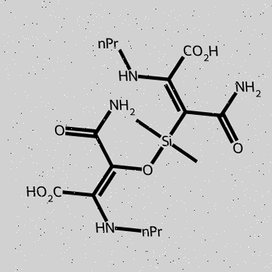 CCCNC(C(=O)O)=C(O[Si](C)(C)C(C(N)=O)=C(NCCC)C(=O)O)C(N)=O